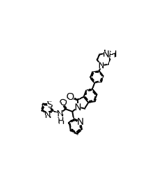 O=C(Nc1nccs1)C(c1ccccn1)N1Cc2ccc(-c3ccc(N4CCNCC4)cc3)cc2C1=O